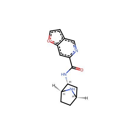 O=C(N[C@@H]1C[C@H]2CC[C@@H]1N2)c1cc2occc2cn1